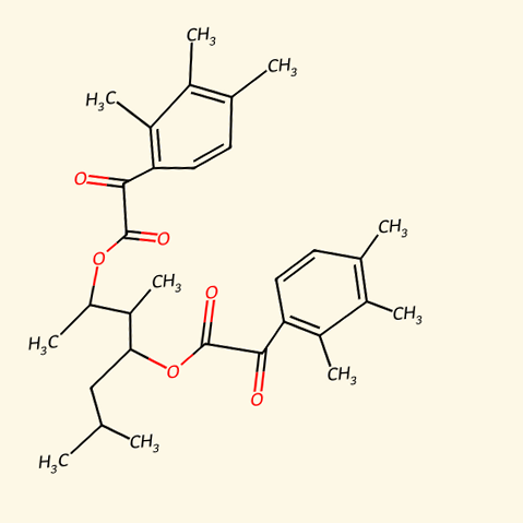 Cc1ccc(C(=O)C(=O)OC(C)C(C)C(CC(C)C)OC(=O)C(=O)c2ccc(C)c(C)c2C)c(C)c1C